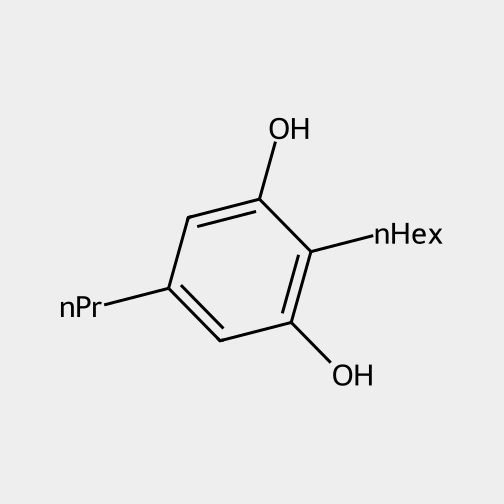 CCCCCCc1c(O)cc(CCC)cc1O